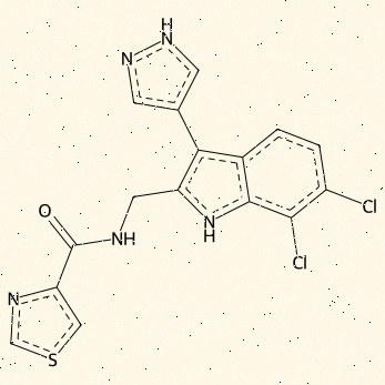 O=C(NCc1[nH]c2c(Cl)c(Cl)ccc2c1-c1cn[nH]c1)c1cscn1